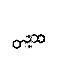 O[C@H](CC1CCCCC1)[C@@H]1Cc2ccccc2CN1